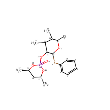 CCC1OC(Sc2ccccc2)C(OP2(=O)O[C@H](C)C[C@@H](C)O2)C(C)C1C